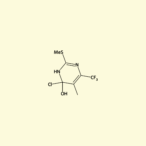 CSC1=NC(C(F)(F)F)=C(C)C(O)(Cl)N1